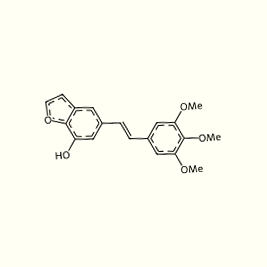 COc1cc(C=Cc2cc(O)c3occc3c2)cc(OC)c1OC